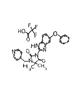 CC1(C)C(=O)N(c2nc3cc(Oc4ccccc4)ccc3[nH]2)C(=O)N1Cc1ccncc1.O=C(O)C(F)(F)F